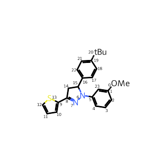 COc1cccc(N2N=C(c3cccs3)CC2c2ccc(C(C)(C)C)cc2)c1